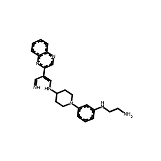 N=C/C(=C\NC1CCN(c2cccc(NCCN)c2)CC1)c1cnc2ccccc2n1